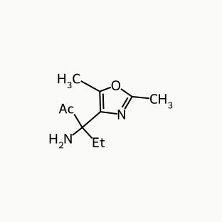 CCC(N)(C(C)=O)c1nc(C)oc1C